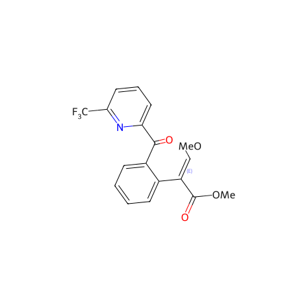 CO/C=C(/C(=O)OC)c1ccccc1C(=O)c1cccc(C(F)(F)F)n1